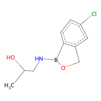 CC(O)CNB1OCc2cc(Cl)ccc21